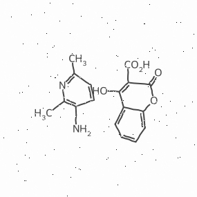 Cc1ccc(N)c(C)n1.O=C(O)c1c(O)c2ccccc2oc1=O